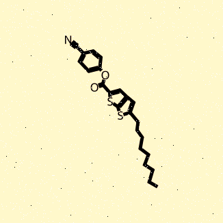 CCCCCCCCCc1cc2cc(C(=O)Oc3ccc(C#N)cc3)sc2s1